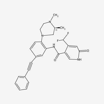 C[C@H]1CN(c2ccc(C#Cc3ccccc3)cc2NC(=O)c2c[nH]c(=O)cc2C(F)F)CCN1C